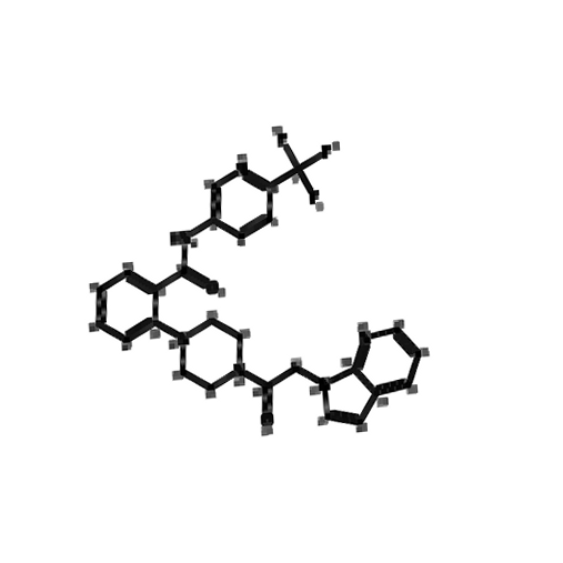 O=C(Nc1ccc(C(F)(F)F)nc1)c1ccccc1N1CCN(C(=O)Cn2ccc3cccnc32)CC1